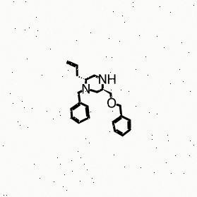 C=CC[C@@H]1CN[C@@H](COCc2ccccc2)CN1Cc1ccccc1